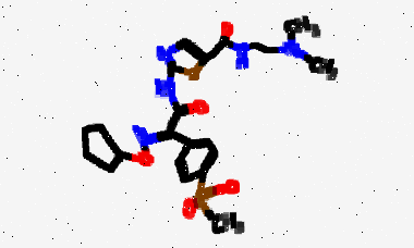 CN(C)CCNC(=O)c1cnc(NC(=O)/C(=N/OC2CCCC2)c2ccc(S(C)(=O)=O)cc2)s1